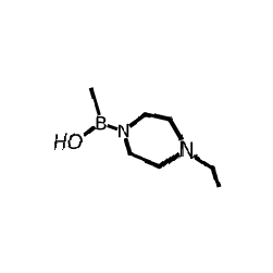 CCN1CCN(B(C)O)CC1